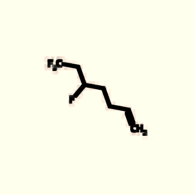 C=CCCC(F)CC(F)(F)F